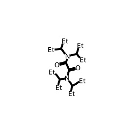 CCC(CC)N(C(=O)C(=O)N(C(CC)CC)C(CC)CC)C(CC)CC